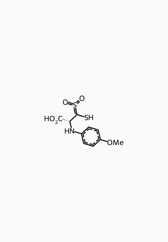 COc1ccc(N[C@H](C(=O)O)C(S)=S(=O)=O)cc1